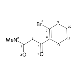 CNC(=O)CC(=O)C1=C(Br)CCCC1